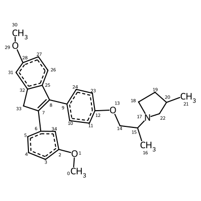 COc1cccc(C2=C(c3ccc(OCC(C)N4CCC(C)C4)cc3)c3ccc(OC)cc3C2)c1